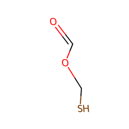 O=COCS